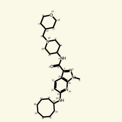 Cn1nc(C(=O)NC2CCN(CC3CCOCC3)CC2)c2ccc(NC3CCCCCCC3)nc21